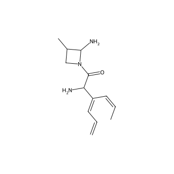 C=C/C=C(\C=C/C)C(N)C(=O)N1CC(C)C1N